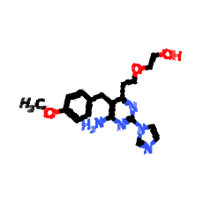 COc1ccc(Cc2c(N)nc(-n3ccnc3)nc2CCOCCO)cc1